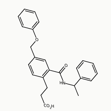 CC(NC(=O)c1cc(COc2ccccc2)ccc1CCC(=O)O)c1ccccc1